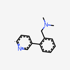 CN(C)Cc1ccccc1-c1cc[c]nc1